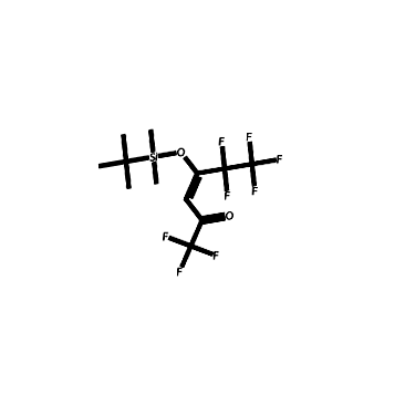 CC(C)(C)[Si](C)(C)OC(=CC(=O)C(F)(F)F)C(F)(F)C(F)(F)F